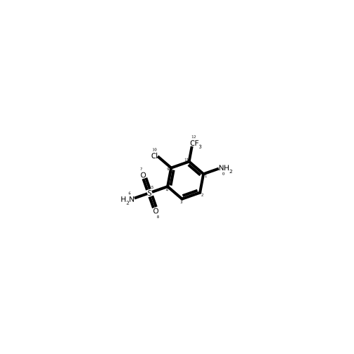 Nc1ccc(S(N)(=O)=O)c(Cl)c1C(F)(F)F